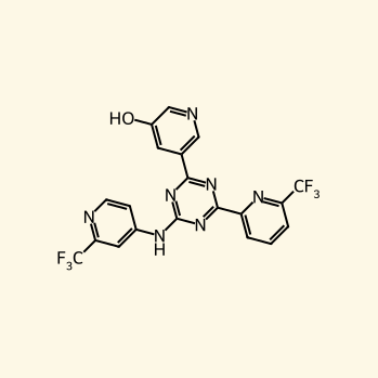 Oc1cncc(-c2nc(Nc3ccnc(C(F)(F)F)c3)nc(-c3cccc(C(F)(F)F)n3)n2)c1